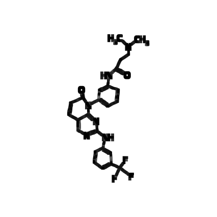 CN(C)CCC(=O)Nc1cccc(-n2c(=O)ccc3cnc(Nc4cccc(C(F)(F)F)c4)nc32)c1